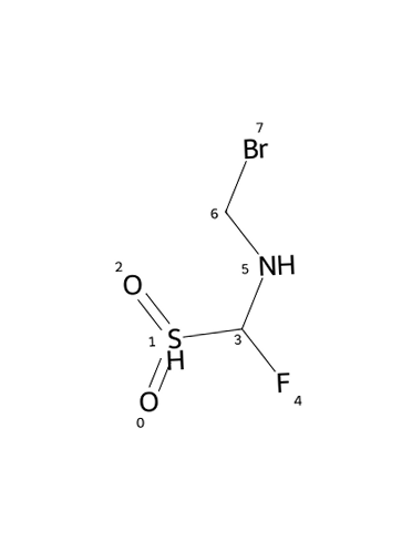 O=[SH](=O)C(F)NCBr